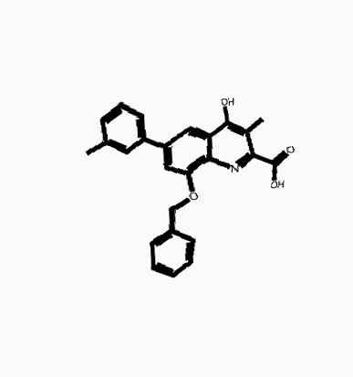 Cc1cccc(-c2cc(OCc3ccccc3)c3nc(C(=O)O)c(C)c(O)c3c2)c1